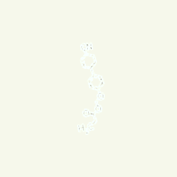 C=CC(=O)OCOc1ccc(C2=CCC(C#N)C=C2)cc1